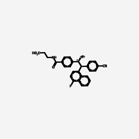 CCC[C@H](c1ccc(C(=O)NCCC(=O)O)cc1)C(c1ccc(C#N)cc1)c1ccc(F)c2ccccc12